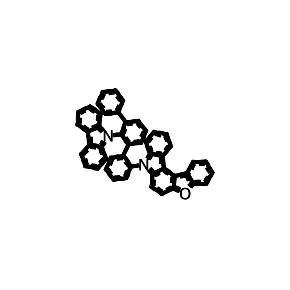 c1ccc(-c2cccc(-c3ccccc3-n3c4ccccc4c4c5c(ccc43)oc3ccccc35)c2-n2c3ccccc3c3ccccc32)cc1